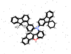 CC1(C)c2ccccc2-c2cccc(-c3cccc(N(c4ccc5c(c4)C4(CCCCC4)c4ccccc4-5)c4cccc5oc6c7ccccc7ccc6c45)c3)c21